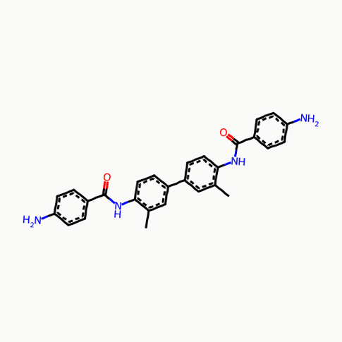 Cc1cc(-c2ccc(NC(=O)c3ccc(N)cc3)c(C)c2)ccc1NC(=O)c1ccc(N)cc1